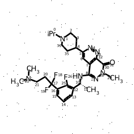 CC(C)N1CCC(c2cc3c(N[C@H](C)c4cccc(C(F)(F)CCN(C)C)c4F)nn(C)c(=O)c3nn2)CC1